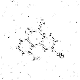 CCCc1ccccc1-c1cc(C)ccc1C(=N)N